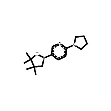 CC1(C)CB(c2ccc(N3CCCC3)nc2)OC1(C)C